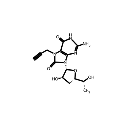 C#CCn1c(=O)n([C@@H]2O[C@H]([C@H](O)C(F)(F)F)C[C@H]2O)c2nc(N)[nH]c(=O)c21